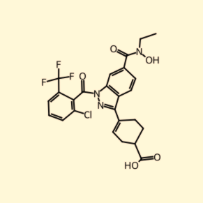 CCN(O)C(=O)c1ccc2c(C3=CCC(C(=O)O)CC3)nn(C(=O)c3c(Cl)cccc3C(F)(F)F)c2c1